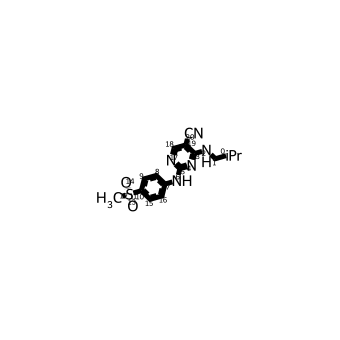 CC(C)CNc1nc(Nc2ccc(S(C)(=O)=O)cc2)ncc1C#N